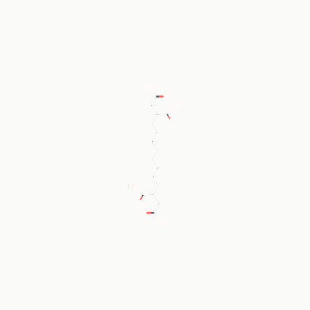 O=C(O)CC(CCCCCCCCC(CC(=O)O)C(=O)O)C(=O)O